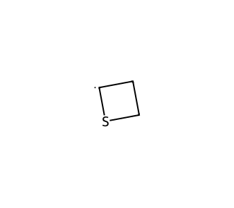 [CH]1CCS1